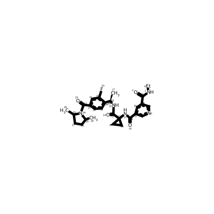 CCNC(=O)c1cncc(C(=O)NC2(C(=O)N[C@H](C)c3ccc(C(=O)N4C(C)CCC4C)cc3F)CC2)c1